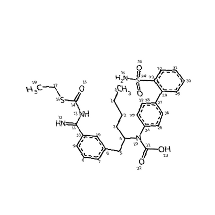 CCCCC(Cc1cccc(C(=N)NC(=O)SCC)c1)N(C(=O)O)c1ccc(-c2ccccc2S(N)(=O)=O)cc1